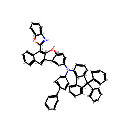 c1ccc(-c2ccc(N(c3ccc4oc5c(-c6nc7ccccc7o6)c6ccccc6cc5c4c3)c3cccc4c3-c3ccccc3C4(c3ccccc3)c3ccccc3)cc2)cc1